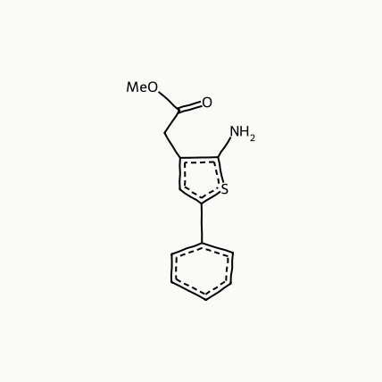 COC(=O)Cc1cc(-c2ccccc2)sc1N